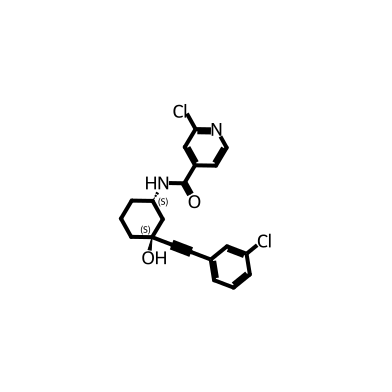 O=C(N[C@H]1CCC[C@@](O)(C#Cc2cccc(Cl)c2)C1)c1ccnc(Cl)c1